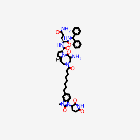 Cn1c(=O)n(C2CCC(=O)NC2=O)c2ccc(CCCCCCCC(=O)N3CC[C@H]4CC[C@@H](C(=O)N[C@@H](CCC(N)=O)C(=O)NC(c5ccccc5)c5ccccc5)N4C(=O)[C@@H](N)C3)cc21